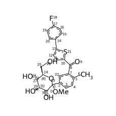 COC1(c2ccc(C)c(C(=O)c3ccc(-c4ccc(F)cc4)s3)c2)O[C@H](CO)[C@@H](O)[C@H](O)[C@H]1O